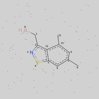 BCc1nsc2cc(C)cc(C)c12